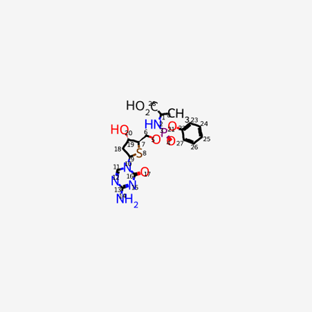 CC(N[P@](=O)(OC[C@H]1S[C@@H](n2cnc(N)nc2=O)C[C@@H]1O)Oc1ccccc1)C(=O)O